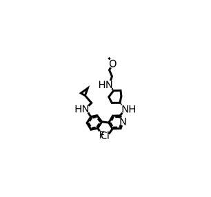 COCCN[C@H]1CC[C@H](Nc2cc(-c3cc(NCC4CC4)ccc3F)c(Cl)cn2)CC1